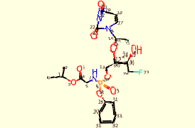 CC(C)OC(=O)CNP(=O)(OC[C@@H](O[C@H](C)n1ccc(=O)[nH]c1=O)[C@@H](O)CF)Oc1ccccc1